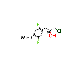 COc1cc(F)c(C[C@@H](O)CCl)cc1F